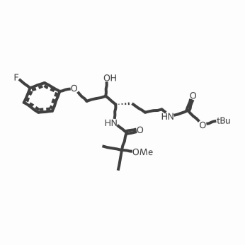 COC(C)(C)C(=O)N[C@@H](CCCNC(=O)OC(C)(C)C)C(O)COc1cccc(F)c1